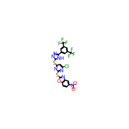 O=[N+]([O-])c1ccc2oc(Sc3nc(Cl)cc(Sc4nnc(-c5cc(C(F)(F)F)cc(C(F)(F)F)c5)[nH]4)n3)nc2c1